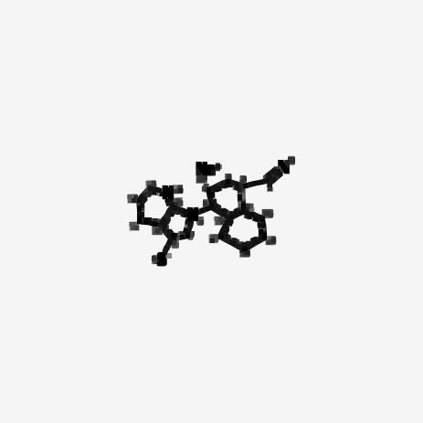 N#Cc1ccc(-n2cc([S-])c3cccnc32)c2ccccc12.[Na+]